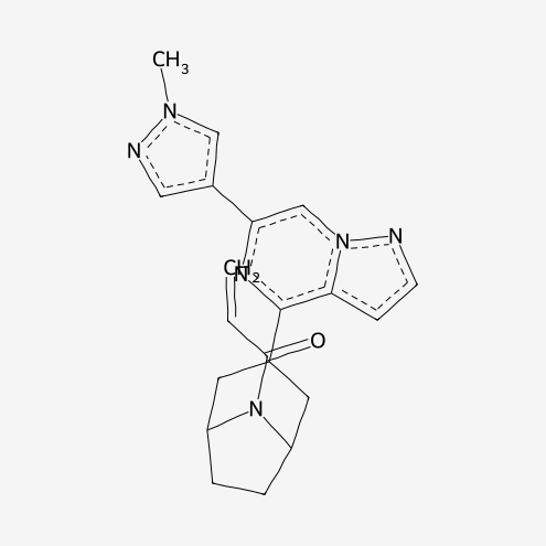 C=CC(=O)N1C2CCC1CC(c1nc(-c3cnn(C)c3)cn3nccc13)C2